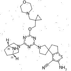 N#Cc1c(N)sc2c1C1(CC2)CCN(c2nc(OCC3(CN4CCOCC4)CC3)nc(N3C[C@H]4CC[C@@H](C3)N4)n2)C1